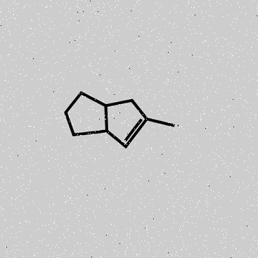 [CH2]C1=CC2CCCC2C1